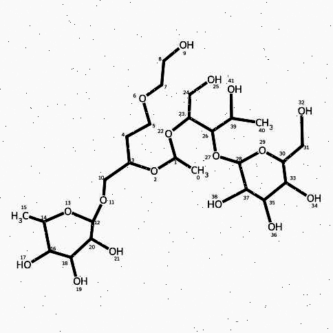 CC(OC(CCOCCO)COC1OC(C)C(O)C(O)C1O)OC(CO)C(OC1OC(CO)C(O)C(O)C1O)C(C)O